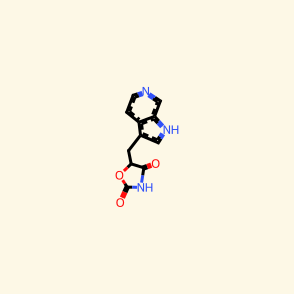 O=C1NC(=O)C(Cc2c[nH]c3cnccc23)O1